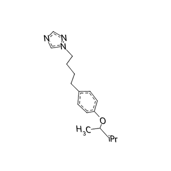 CC(C)C(C)Oc1ccc(CCCCn2cncn2)cc1